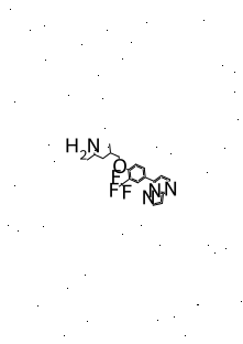 CC(N)CC(C)COc1ccc(-c2ccnc3ccnn23)cc1C(F)(F)F